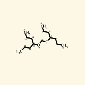 CCCC(CCC)OCOC(CCC)CCC